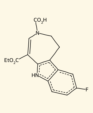 CCOC(=O)C1=CN(C(=O)O)CCc2c1[nH]c1ccc(F)cc21